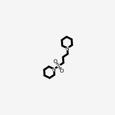 O=S(=O)(CCCN1CCCCC1)N1CC[CH]CC1